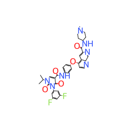 CC(C)n1cc(C(=O)Nc2ccc(Oc3ccnc4cnc(C(=O)NC5CCN(C)CC5)cc34)cc2)c(=O)n(-c2cc(F)cc(F)c2)c1=O